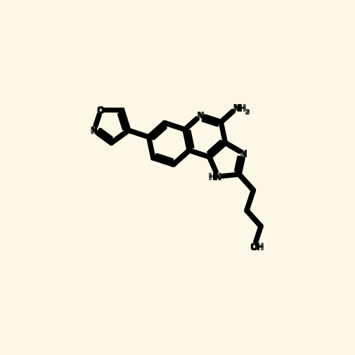 Nc1nc2cc(-c3cnoc3)ccc2c2[nH]c(CCCO)nc12